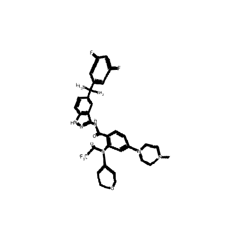 BC(B)(c1cc(F)cc(F)c1)c1ccc2[nH]nc(NC(=O)c3ccc(N4CCN(C)CC4)cc3N(C(=O)C(F)(F)F)C3CCOCC3)c2c1